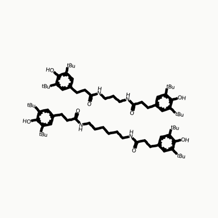 CC(C)(C)c1cc(CCC(=O)NCCCCCCNC(=O)CCc2cc(C(C)(C)C)c(O)c(C(C)(C)C)c2)cc(C(C)(C)C)c1O.CC(C)(C)c1cc(CCC(=O)NCCCNC(=O)CCc2cc(C(C)(C)C)c(O)c(C(C)(C)C)c2)cc(C(C)(C)C)c1O